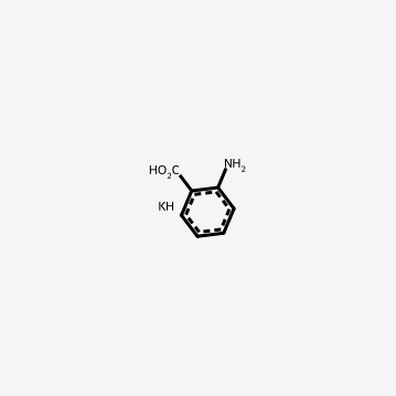 Nc1ccccc1C(=O)O.[KH]